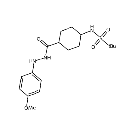 COc1ccc(NNC(=O)C2CCC(NS(=O)(=O)C(C)(C)C)CC2)cc1